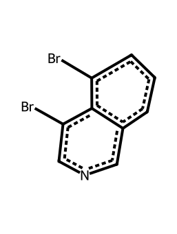 Brc1cccc2cncc(Br)c12